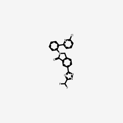 O=C1c2cc(-c3nnc(C(F)F)o3)ccc2CN1c1ccccc1-c1cccc(Cl)n1